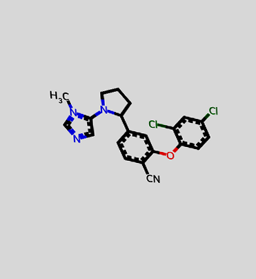 Cn1cncc1N1CCCC1c1ccc(C#N)c(Oc2ccc(Cl)cc2Cl)c1